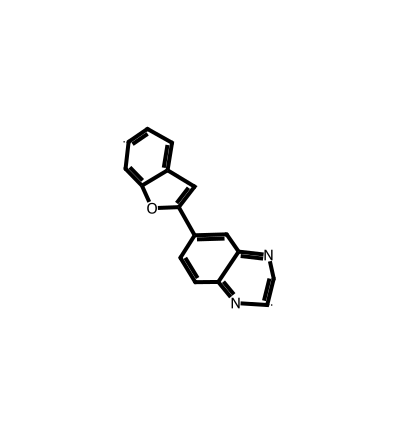 [c]1ccc2cc(-c3ccc4n[c]cnc4c3)oc2c1